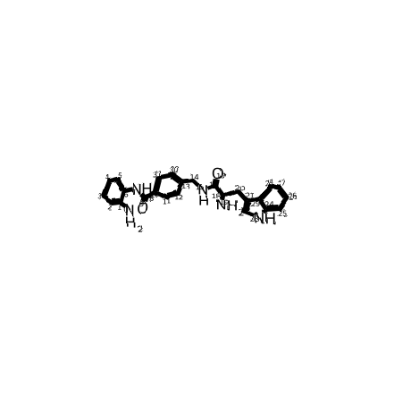 Nc1ccccc1NC(=O)c1ccc(CNC(=O)C(N)Cc2c[nH]c3ccccc23)cc1